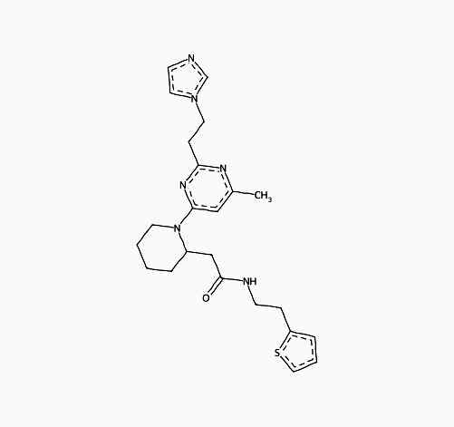 Cc1cc(N2CCCCC2CC(=O)NCCc2cccs2)nc(CCn2ccnc2)n1